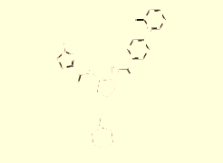 O=C(N[C@H]1C[C@H](OCN2CCOCC2)C[C@H]1NC(=O)c1ccc(Cl)s1)c1ccc(-n2ccccc2=O)cc1